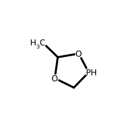 CC1OCPO1